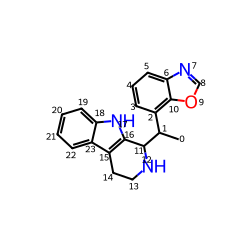 CC(c1cccc2ncoc12)C1NCCc2c1[nH]c1ccccc21